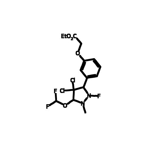 CCOC(=O)COc1cccc(C2N(F)N(C)C(OC(F)F)C2(Cl)Cl)c1